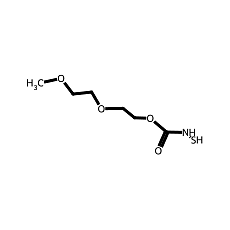 COCCOCCOC(=O)NS